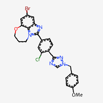 COc1ccc(Cn2cnc(-c3ccc(-c4nc5cc(Br)cc6c5n4CCCO6)cc3Cl)n2)cc1